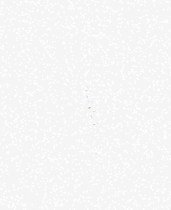 C=CC(=O)OCCCCOC(=O)Oc1ccc(-c2ccc(/C=C/c3ccc(OCCCOC(=O)C(=C)CC(=O)OCC)cc3)cc2)cc1